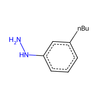 CCCCc1cccc(NN)c1